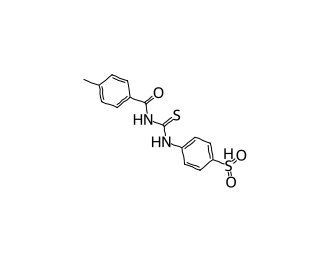 Cc1ccc(C(=O)NC(=S)Nc2ccc([SH](=O)=O)cc2)cc1